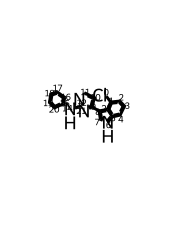 Clc1cccc2[nH]cc(-c3ccnc(Nc4ccccc4)n3)c12